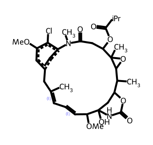 COc1cc2cc(c1Cl)N(C)C(=O)CC(OC(=O)C(C)C)C1(C)OC1C(C)C1CC(O)(NC(=O)O1)C(OC)/C=C/C=C(\C)C2